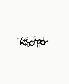 CN1C(=O)c2c3c(nn2CC12CC2)CCN(C(=O)c1cc2c(F)c(F)ccc2[nH]1)C3